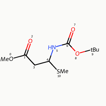 COC(=O)CC(NC(=O)OC(C)(C)C)SC